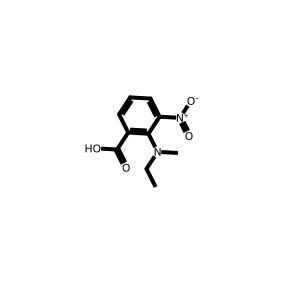 CCN(C)c1c(C(=O)O)cccc1[N+](=O)[O-]